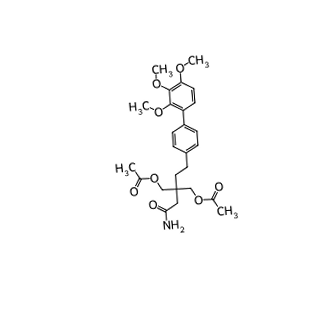 COc1ccc(-c2ccc(CCC(COC(C)=O)(COC(C)=O)CC(N)=O)cc2)c(OC)c1OC